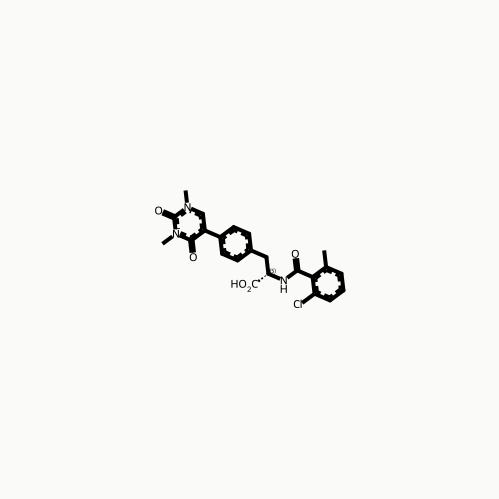 Cc1cccc(Cl)c1C(=O)N[C@@H](Cc1ccc(-c2cn(C)c(=O)n(C)c2=O)cc1)C(=O)O